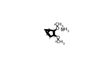 COc1cc2cc-2c1OC.N